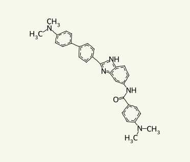 CN(C)c1ccc(C(=O)Nc2ccc3[nH]c(-c4ccc(-c5ccc(N(C)C)cc5)cc4)nc3c2)cc1